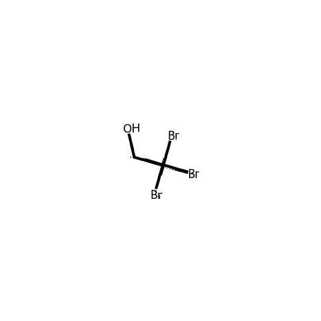 O[CH]C(Br)(Br)Br